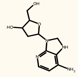 Nc1ccnc2c1NCN2C1CC(O)C(CO)O1